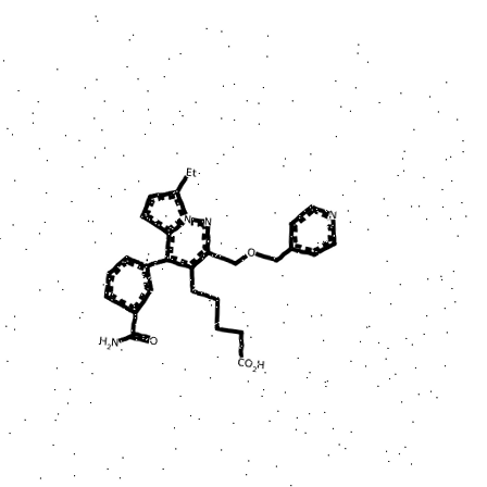 CCc1ccc2c(-c3cccc(C(N)=O)c3)c(CCCCC(=O)O)c(COCc3ccncc3)nn12